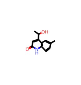 Cc1ccc2[nH]c(=O)cc(C(C)O)c2c1